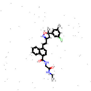 O=C(CNC(=O)c1ccc(C=CC2=NOC(c3cc(Cl)cc(C(F)(F)F)c3)(C(F)(F)F)C2)c2ccccc12)NCC(F)(F)F